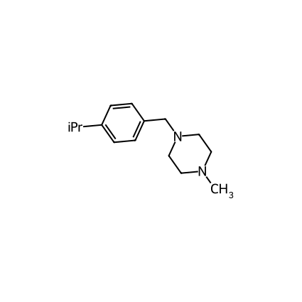 CC(C)c1ccc(CN2CCN(C)CC2)cc1